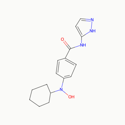 O=C(Nc1ccn[nH]1)c1ccc(N(O)C2CCCCC2)cc1